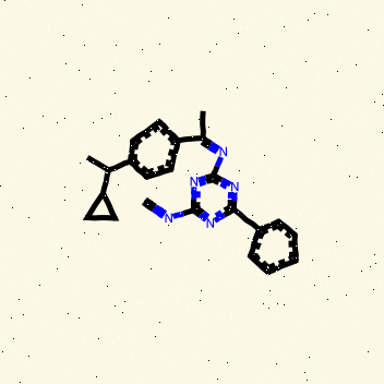 C=Nc1nc(/N=C(/C)c2ccc(C(C)C3CC3)cc2)nc(-c2ccccc2)n1